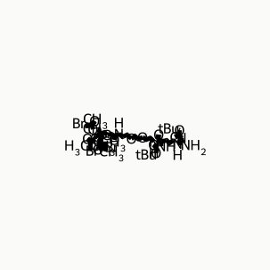 CC(C)(C)OC(=O)/N=C(/N)NCCCC(NC(=O)OC(C)(C)C)C(=O)NCCOCCOCCNC(=O)COCC(COC(=O)C(C)(C)Br)(COC(=O)C(C)(C)Br)COC(=O)C(C)(C)Br